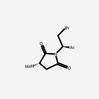 CN[C@H]1CC(=O)N([C@@H](CC(C)C)C(C)=O)C1=O